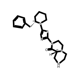 O=C1[C@H]2CNCCN2CCN1c1ncc(N2CCCC[C@H]2Cc2ccccc2)s1